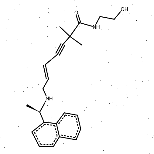 C[C@@H](NC/C=C/C#CC(C)(C)C(=O)NCCO)c1cccc2ccccc12